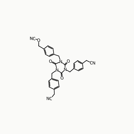 N#CCc1ccc(Cn2c(=O)n(Cc3ccc(CC#N)cc3)c(=O)n(Cc3ccc(COC#N)cc3)c2=O)cc1